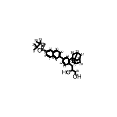 CC1(C)OB(c2ccc3cc(-c4ccc(CC(O)CO)c(C56CC7CC(CC(C7)C5)C6)c4)ccc3c2)OC1(C)C